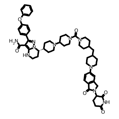 NC(=O)c1c(-c2ccc(Oc3ccccc3)cc2)nn2c1NCC[C@H]2C1CCN(C2CCN(C(=O)N3CCC(CC4CCN(c5ccc6c(c5)CN(C5CCC(=O)NC5=O)C6=O)CC4)CC3)CC2)CC1